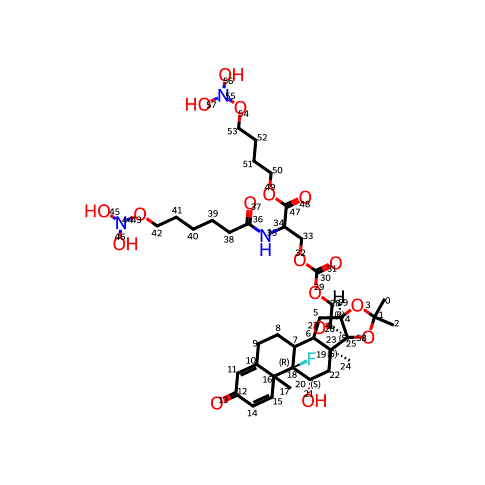 CC1(C)O[C@@H]2CC3C4CCC5=CC(=O)C=CC5(C)[C@@]4(F)[C@@H](O)C[C@]3(C)[C@]2(C(=O)COC(=O)OCC(NC(=O)CCCCCON(O)O)C(=O)OCCCCON(O)O)O1